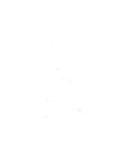 CC1CC(=O)OC(CC(=O)OCc2ccccc2)C1